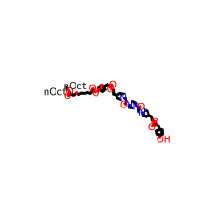 CCCCCCCCC(CCCCCCCC)OC(=O)CCCCCCCC(=O)Oc1ccc(CC(=O)OCCC2CCN(CC(=O)N3CCN(C(=O)CN4CCC(CCOC(=O)Cc5ccc(O)cc5)CC4)CC3)CC2)cc1